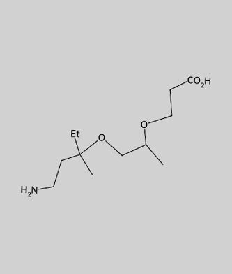 CCC(C)(CCN)OCC(C)OCCC(=O)O